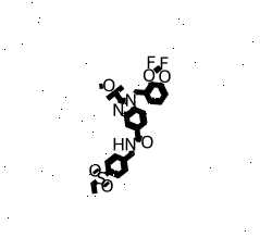 CCS(=O)(=O)c1ccc(CNC(=O)c2ccc3c(c2)nc(C(C)(C)OC)n3Cc2cccc3c2OC(F)(F)O3)cc1